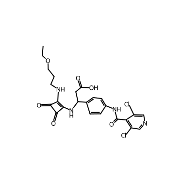 CCOCCCNc1c(NC(CC(=O)O)c2ccc(NC(=O)c3c(Cl)cncc3Cl)cc2)c(=O)c1=O